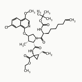 C=CCCCCC[C@H](NC(=O)OC(C)(C)C)C(=O)N1C[C@H](Oc2ncc(OC)c3ccc(Cl)cc23)[C@@H](C)[C@H]1C(=O)N[C@]1(C(=O)OCC)C[C@H]1C=C